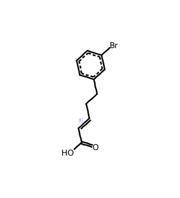 O=C(O)/C=C/CCc1cccc(Br)c1